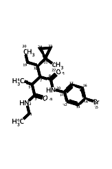 CCNC(=O)C(C)C(C(=O)Nc1ccc(Br)cc1)C(CC)C1(C)CC1